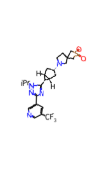 CC(C)n1nc(-c2cncc(C(F)(F)F)c2)nc1[C@H]1[C@@H]2C[C@H](N3CCC4(C3)CS(=O)(=O)C4)C[C@@H]21